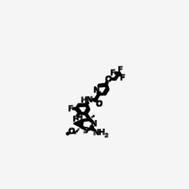 COC[C@]12C[C@H]1[C@@](C)(c1cc(NC(=O)c3ccc(OCC(F)(F)F)cn3)cc(F)c1F)N=C(N)S2